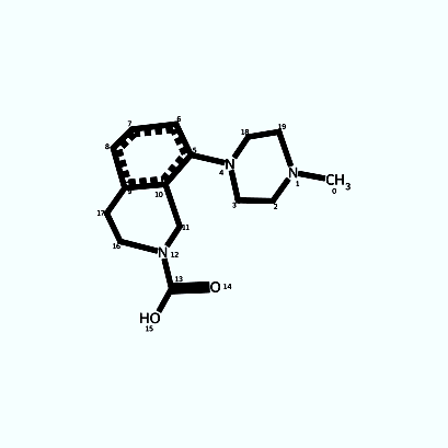 CN1CCN(c2cccc3c2CN(C(=O)O)CC3)CC1